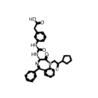 O=C(O)Cc1cccc(NC(=O)N[C@@H]2N=C(c3ccccc3)c3ccccc3N(CC(=O)C3CCCC3)C2=O)c1